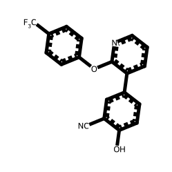 N#Cc1cc(-c2cccnc2Oc2ccc(C(F)(F)F)cc2)ccc1O